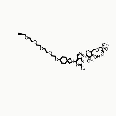 C#CCOCCOCCOCCOCCOC1CCC2(CC1)CN(c1nc(Cl)nc3c1cnn3[C@@H]1OC(COCP(=O)(O)O)[C@@H](O)[C@H]1O)C2